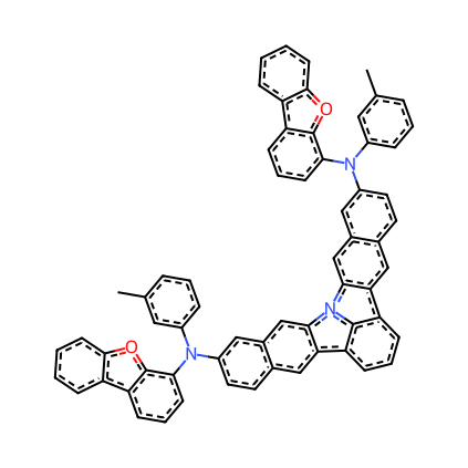 Cc1cccc(N(c2ccc3cc4c5cccc6c7cc8ccc(N(c9cccc(C)c9)c9cccc%10c9oc9ccccc9%10)cc8cc7n(c4cc3c2)c56)c2cccc3c2oc2ccccc23)c1